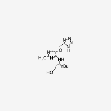 CCCC[C@@H](CCO)Nc1nc(C)ncc1OCc1nnn[nH]1